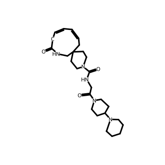 O=C1C/C=C\C=C/CC2(CCN(C(=O)NCC(=O)N3CCC(N4CCCCC4)CC3)CC2)CN1